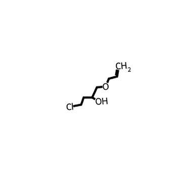 C=CCOCC(O)CCCl